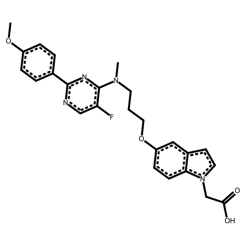 COc1ccc(-c2ncc(F)c(N(C)CCCOc3ccc4c(ccn4CC(=O)O)c3)n2)cc1